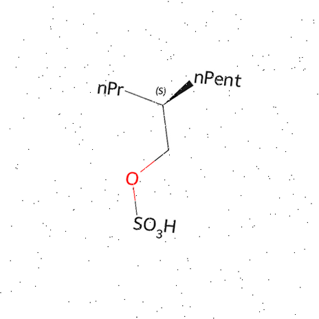 CCCCC[C@H](CCC)COS(=O)(=O)O